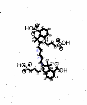 CC1(C)C(/C=C/C=C/C=C2/N(CCCS(=O)(=O)O)c3cccc(C(=O)O)c3C2(C)C)=[N+](CCCS(=O)(=O)O)c2cccc(S(=O)(=O)O)c21